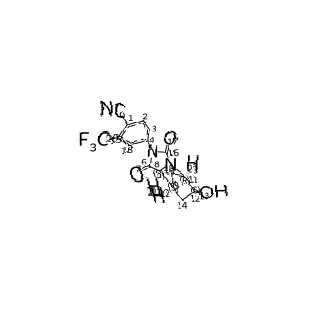 N#Cc1ccc(N2C(=O)[C@@H]3[C@H]4C[C@H]([C@@H](O)C4)N3C2=O)cc1C(F)(F)F